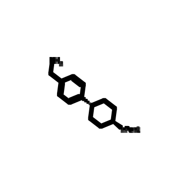 CCCCC[C@H]1CC[C@H](c2ccc(CN)cc2)CC1